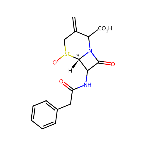 C=C1C[S+]([O-])[C@H]2C(NC(=O)Cc3ccccc3)C(=O)N2C1C(=O)O